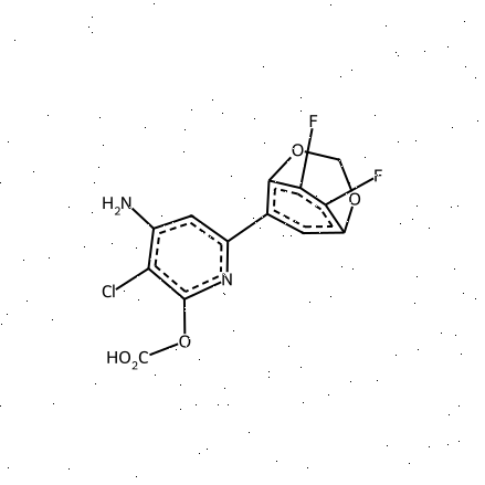 Nc1cc(-c2cc3c(F)c(F)c2OCO3)nc(OC(=O)O)c1Cl